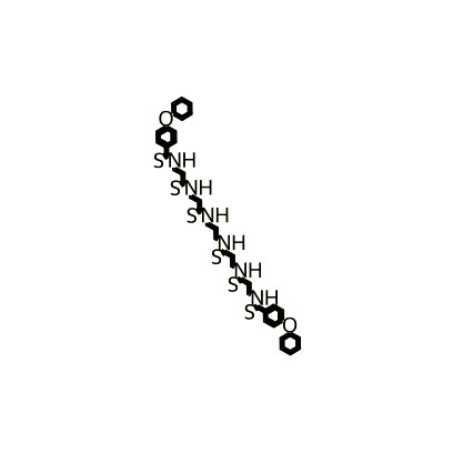 S=C(CCNC(=S)CCNC(=S)c1ccc(OC2CCCCC2)cc1)NCCCNC(=S)CCNC(=S)CCNC(=S)c1ccc(OC2CCCCC2)cc1